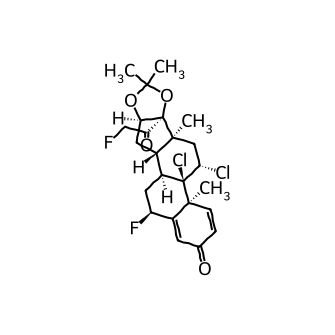 CC1(C)O[C@@H]2C[C@H]3[C@@H]4C[C@H](F)C5=CC(=O)C=C[C@]5(C)[C@@]4(Cl)[C@@H](Cl)C[C@]3(C)[C@]2(C(=O)CF)O1